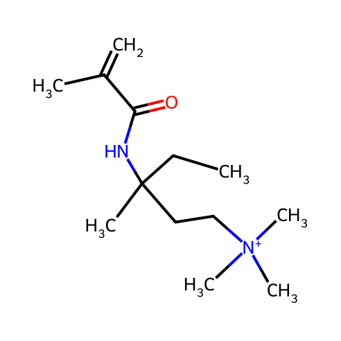 C=C(C)C(=O)NC(C)(CC)CC[N+](C)(C)C